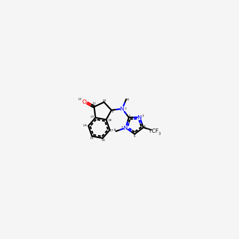 CN(c1nc(C(F)(F)F)cn1C)C1CC(=O)c2ccccc21